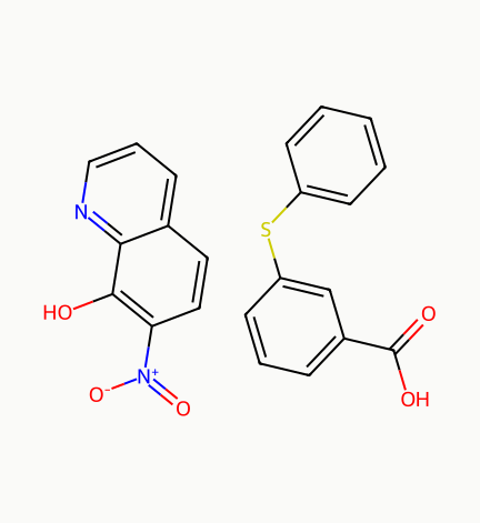 O=C(O)c1cccc(Sc2ccccc2)c1.O=[N+]([O-])c1ccc2cccnc2c1O